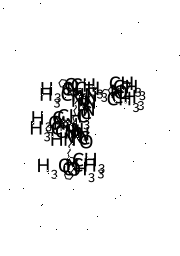 CC1(C)CC(CCCCNc2nc(N=C=O)nc(N(CCCCCCN(c3nc(N=C=O)nc(NCCCCC4CC(C)(C)N(OC5CCCCC5)C(C)(C)C4)n3)C3CC(C)(C)N(OC4CCCCC4)C(C)(C)C3)C3CC(C)(C)N(OC4CCCCC4)C(C)(C)C3)n2)CC(C)(C)N1OC1CCCCC1